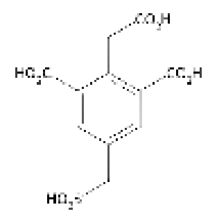 O=C(O)Cc1c(C(=O)O)cc(CS(=O)(=O)O)cc1C(=O)O